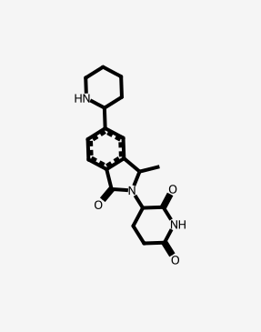 CC1c2cc(C3CCCCN3)ccc2C(=O)N1C1CCC(=O)NC1=O